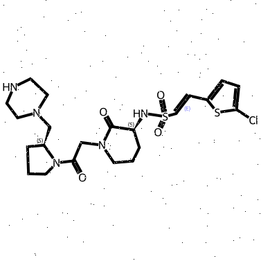 O=C1[C@@H](NS(=O)(=O)/C=C/c2ccc(Cl)s2)CCCN1CC(=O)N1CCC[C@H]1CN1CCNCC1